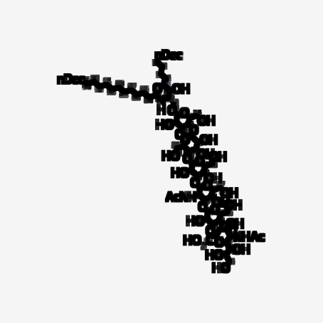 CCCCCCCCCCCCC/C=C/[C@@H](O)[C@H](CO[C@@H]1OC(CO)[C@@H](O[C@@H]2OC(CO)[C@H](O[C@@H]3OC(CO)[C@H](O)[C@H](O[C@@H]4OC(CO)[C@H](O)[C@H](O[C@@H]5OC(CO)[C@H](O)[C@H](O[C@]6(C(=O)O)CC(O)[C@@H](NC(C)=O)C([C@H](O)[C@H](O)CO)O6)C5O)C4NC(C)=O)C3O)[C@H](O)C2O)[C@H](O)C1O)NC(=O)CCCCCCCCCCCCCCCCCCCCC